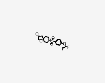 O=C1COC2(CCN(S(=O)(=O)c3ccc(OC(F)F)cc3)CC2)C1